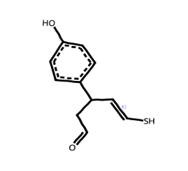 O=CCC(/C=C/S)c1ccc(O)cc1